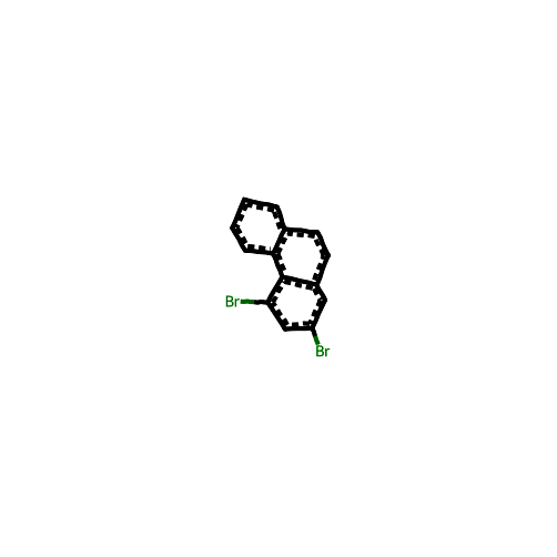 Brc1cc(Br)c2c(ccc3ccccc32)c1